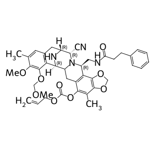 C=CCOC(=O)Oc1c(C)c2c(c3c1CC1[C@@H]4N[C@H](Cc5cc(C)c(OC)c(OCOC)c54)[C@H](C#N)N1[C@H]3CNC(=O)CCc1ccccc1)OCO2